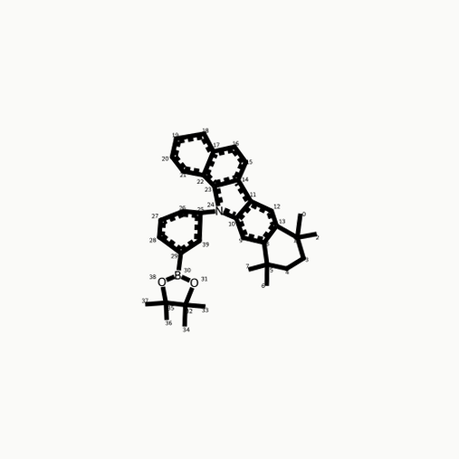 CC1(C)CCC(C)(C)c2cc3c(cc21)c1ccc2ccccc2c1n3-c1cccc(B2OC(C)(C)C(C)(C)O2)c1